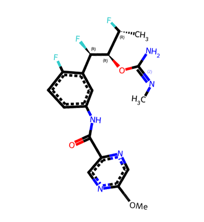 C/N=C(/N)O[C@@H]([C@H](F)c1cc(NC(=O)c2cnc(OC)cn2)ccc1F)[C@@H](C)F